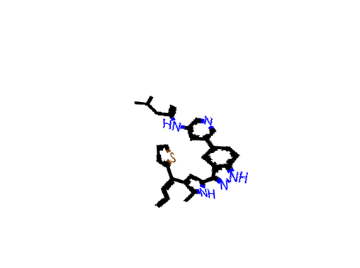 C=C/C=C(/c1cccs1)c1cc(-c2n[nH]c3ccc(-c4cncc(NC(=C)CC(C)C)c4)cc23)[nH]c1C